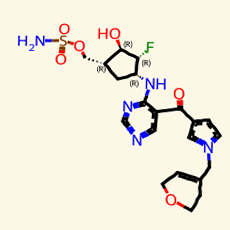 NS(=O)(=O)OC[C@H]1C[C@@H](Nc2ncncc2C(=O)c2ccn(CC3=CCOCC3)c2)[C@@H](F)[C@@H]1O